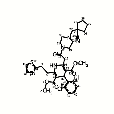 COC(=O)C1=C(CCc2nccs2)NC(CC(=O)N2CCN(CC3(C#N)CCCC3)CC2)=C(C(=O)OC)C1c1c(Cl)cccc1Cl